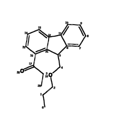 CCCOCC1c2ccccc2-c2cccc(C(=O)CC)c21